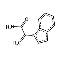 C=C(C(N)=O)n1ccc2ccccc21